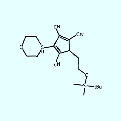 CC(C)(C)[Si](C)(C)OCCC1C(C#N)=C(C#N)C([SH]2CCOCC2)=C1C#N